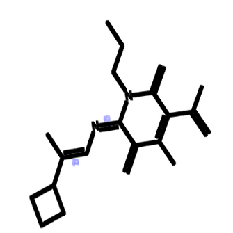 C=C(C)c1c(C)c(=C)/c(=N\C=C(/C)C2CCC2)n(CCC)c1=C